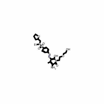 CCN(CC1CCCO1)S(=O)(=O)c1ccc(/N=N/c2c(C)c(N)c(=O)n(CCOCCO)c2O)cc1